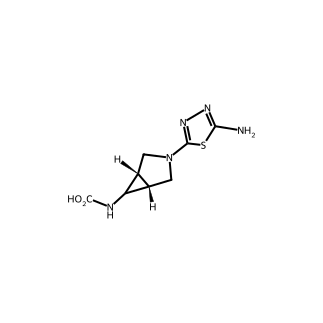 Nc1nnc(N2C[C@@H]3C(NC(=O)O)[C@@H]3C2)s1